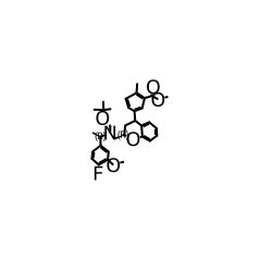 COC(=O)c1cc(C2C[C@H](CN(COC(C)(C)C)[C@H](C)c3ccc(F)c(OC)c3)Oc3ccccc32)ccc1C